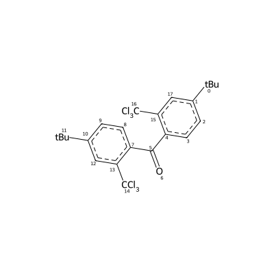 CC(C)(C)c1ccc(C(=O)c2ccc(C(C)(C)C)cc2C(Cl)(Cl)Cl)c(C(Cl)(Cl)Cl)c1